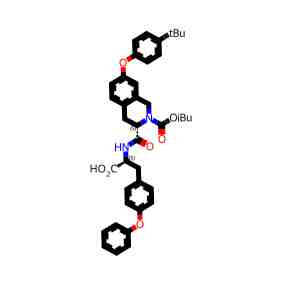 CC(C)COC(=O)N1Cc2cc(Oc3ccc(C(C)(C)C)cc3)ccc2C[C@H]1C(=O)N[C@@H](Cc1ccc(Oc2ccccc2)cc1)C(=O)O